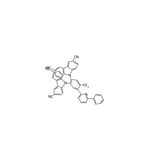 N#Cc1ccc2c(c1)c1cc(C#N)ccc1n2-c1cc(-c2cccc(-c3ccccc3)n2)c(C(F)(F)F)cc1-n1c2ccc(C#N)cc2c2cc(C#N)ccc21